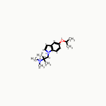 CC(C)Oc1ccc2c(ccn2CC(C)(C)N(C)C)c1